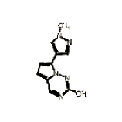 Cn1cc(-c2ccc3cnc(O)nn23)cn1